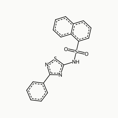 O=S(=O)(Nc1nc(-c2ccccc2)ns1)c1cccc2ccccc12